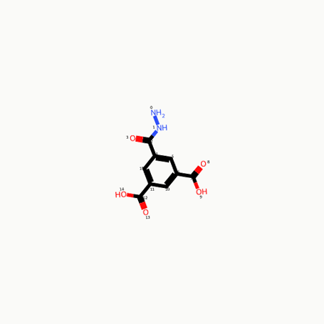 NNC(=O)c1cc(C(=O)O)cc(C(=O)O)c1